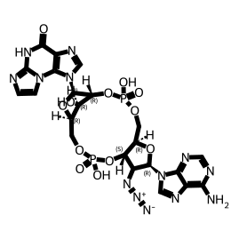 [N-]=[N+]=NC1[C@H](n2cnc3c(N)ncnc32)O[C@@H]2COP(=O)(O)O[C@@H]3[C@H](O)[C@@H](COP(=O)(O)O[C@@H]12)O[C@H]3n1cnc2c(=O)[nH]c3nccn3c21